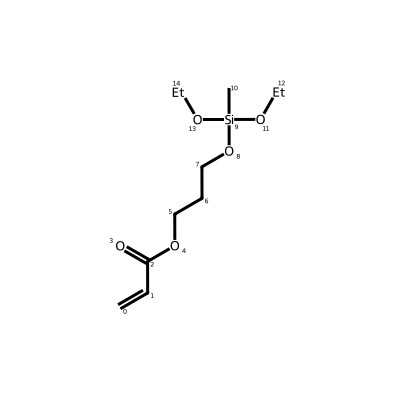 C=CC(=O)OCCCO[Si](C)(OCC)OCC